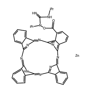 CC(C)NC(=N)N(OC(=O)c1cccc2c3nc4nc(nc5[nH]c(nc6nc(nc([nH]3)c12)-c1ccccc1-6)c1ccccc51)-c1ccccc1-4)C(C)C.[Zn]